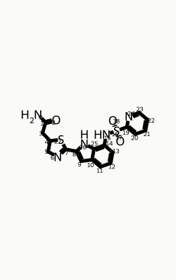 NC(=O)CC1CN=C(c2cc3cccc(NS(=O)(=O)c4ccccn4)c3[nH]2)S1